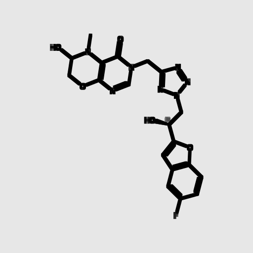 CN1c2c(ncn(Cc3nnn(C[C@H](O)c4cc5cc(F)ccc5o4)n3)c2=O)OCC1O